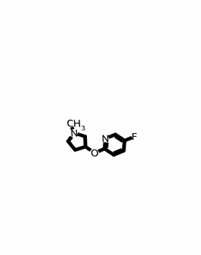 CN1CCC(Oc2ccc(F)cn2)C1